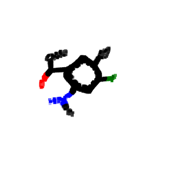 COC(=O)c1cc(N=O)c(F)cc1NC(C)C